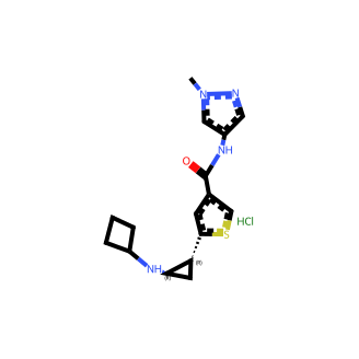 Cl.Cn1cc(NC(=O)c2csc([C@@H]3C[C@H]3NC3CCC3)c2)cn1